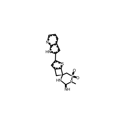 CN1C(=N)N[C@@]2(Cc3cc(-c4cc5cccnc5[nH]4)sc32)CS1(=O)=O